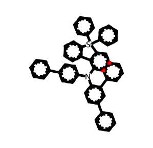 c1ccc(-c2ccc(N(c3ccc(-c4ccccc4)cc3-c3ccccc3)c3cccc4c3-c3ccccc3[Si]4(c3ccccc3)c3ccccc3)cc2)cc1